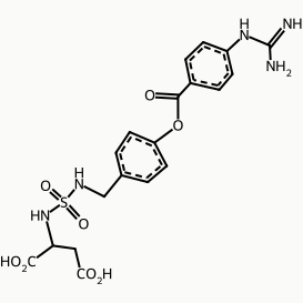 N=C(N)Nc1ccc(C(=O)Oc2ccc(CNS(=O)(=O)NC(CC(=O)O)C(=O)O)cc2)cc1